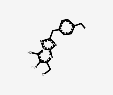 CCc1ccc(Cc2nc3nc(CCl)c(N)c(O)n3n2)cc1